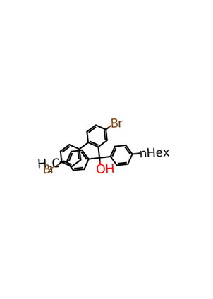 CCCCCCc1ccc(C(O)(c2ccc(C)cc2)c2cc(Br)ccc2-c2ccc(Br)cc2)cc1